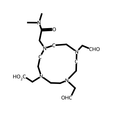 CN(C)C(=O)CN1CCN(CC=O)CCN(CC=O)CCN(CC(=O)O)CC1